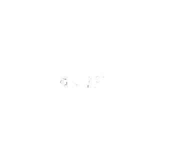 CC1CN(Cc2ncc[nH]2)CC1C1=NC2=CN(C3CCOCC3)CN2C(=O)N1